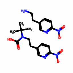 CC(C)(C)N(CCc1ccc([N+](=O)[O-])nc1)C(=O)O.NCCc1ccc([N+](=O)[O-])nc1